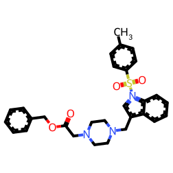 Cc1ccc(S(=O)(=O)n2cc(CN3CCN(CC(=O)OCc4ccccc4)CC3)c3ccccc32)cc1